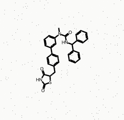 CN(C(=O)NC(c1ccccc1)c1ccccc1)c1cccc(-c2ccc(CC3SC(=O)NC3=O)cc2)c1